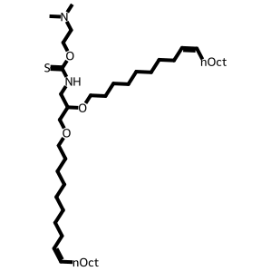 CCCCCCCC/C=C\CCCCCCCCOCC(CNC(=S)OCCN(C)C)OCCCCCCCC/C=C\CCCCCCCC